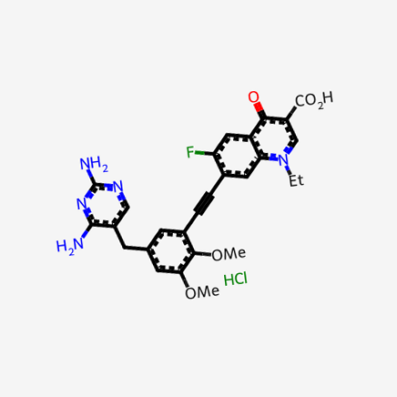 CCn1cc(C(=O)O)c(=O)c2cc(F)c(C#Cc3cc(Cc4cnc(N)nc4N)cc(OC)c3OC)cc21.Cl